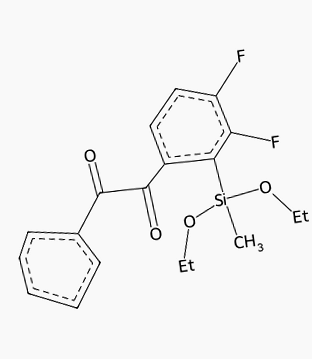 CCO[Si](C)(OCC)c1c(C(=O)C(=O)c2ccccc2)ccc(F)c1F